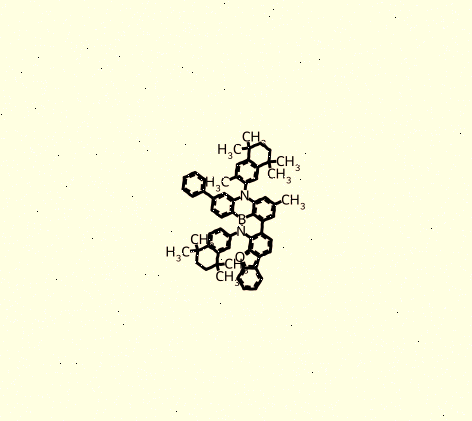 Cc1cc2c3c(c1)N(c1cc4c(cc1C)C(C)(C)CCC4(C)C)c1cc(-c4ccccc4)ccc1B3N(c1ccc3c(c1)C(C)(C)CCC3(C)C)c1c-2ccc2c1oc1ccccc12